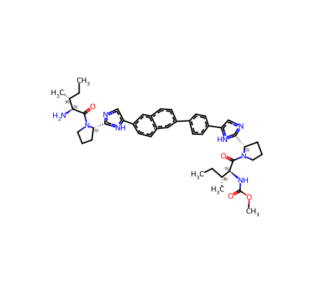 CC[C@@H](C)[C@H](N)C(=O)N1CCC[C@H]1c1ncc(-c2ccc3cc(-c4ccc(-c5cnc([C@@H]6CCCN6C(=O)[C@@H](NC(=O)OC)[C@H](C)CC)[nH]5)cc4)ccc3c2)[nH]1